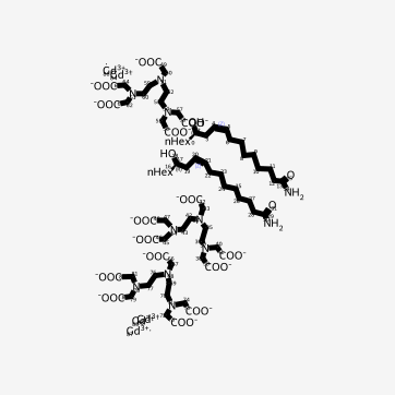 CCCCCC[C@@H](O)C/C=C\CCCCCCCC(N)=O.CCCCCC[C@@H](O)C/C=C\CCCCCCCC(N)=O.O=C([O-])CN(CCN(CC(=O)[O-])CC(=O)[O-])CCN(CC(=O)[O-])CC(=O)[O-].O=C([O-])CN(CCN(CC(=O)[O-])CC(=O)[O-])CCN(CC(=O)[O-])CC(=O)[O-].O=C([O-])CN(CCN(CC(=O)[O-])CC(=O)[O-])CCN(CC(=O)[O-])CC(=O)[O-].[Gd+3].[Gd+3].[Gd+3].[Gd+3].[Gd+3]